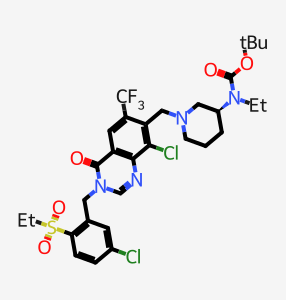 CCN(C(=O)OC(C)(C)C)[C@H]1CCCN(Cc2c(C(F)(F)F)cc3c(=O)n(Cc4cc(Cl)ccc4S(=O)(=O)CC)cnc3c2Cl)C1